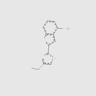 CCc1cnc(-c2cc3c(O)cccc3o2)o1